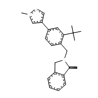 Cn1cc(-c2ccc(CN3Cc4ccccc4C3=O)c(C(F)(F)F)c2)cn1